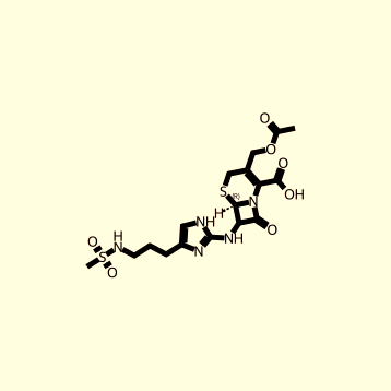 CC(=O)OCC1=C(C(=O)O)N2C(=O)C(Nc3nc(CCCNS(C)(=O)=O)c[nH]3)[C@H]2SC1